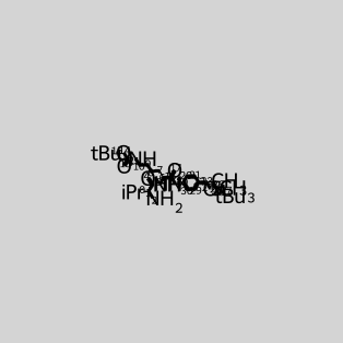 CC(C)[C@H](N)C(=O)N[C@@H](CCCCNC(=O)OC(C)(C)C)C(=O)Nc1ccc(CO[Si](C)(C)C(C)(C)C)cc1